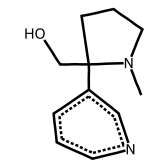 CN1CCCC1(CO)c1cccnc1